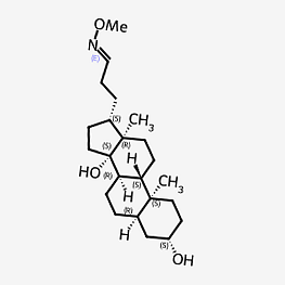 CO/N=C/CC[C@H]1CC[C@]2(O)[C@@H]3CC[C@@H]4C[C@@H](O)CC[C@]4(C)[C@H]3CC[C@]12C